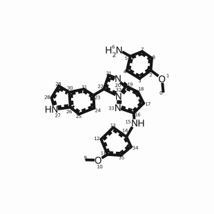 COc1ccc(N)cc1.COc1ccc(Nc2ccc3ncc(-c4ccc5[nH]ccc5c4)n3n2)cc1